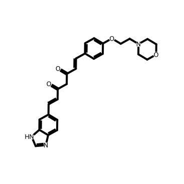 O=C(C=Cc1ccc(OCCN2CCOCC2)cc1)CC(=O)C=Cc1ccc2nc[nH]c2c1